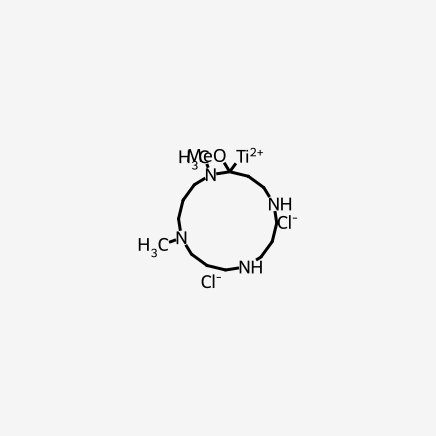 CO[C]1([Ti+2])CCNCCCNCCCN(C)CCCN1C.[Cl-].[Cl-]